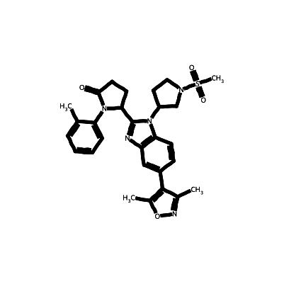 Cc1ccccc1N1C(=O)CCC1c1nc2cc(-c3c(C)noc3C)ccc2n1C1CCN(S(C)(=O)=O)C1